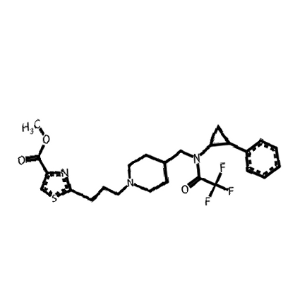 COC(=O)c1csc(CCCN2CCC(CN(C(=O)C(F)(F)F)C3CC3c3ccccc3)CC2)n1